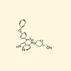 O=C(c1ccc(Oc2ccccc2)cc1)c1c[nH]c2nccc(N[C@@H]3CC[C@@H](CO)OC3)c12